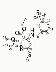 CCOC(=O)c1c(NCc2cccc(C(F)(F)F)c2)cc(SC)nc1-c1ccco1